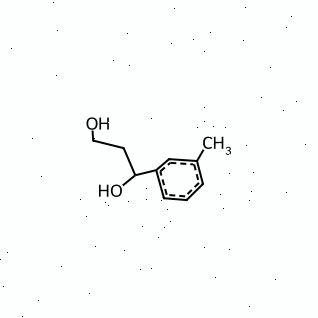 Cc1cccc(C(O)CCO)c1